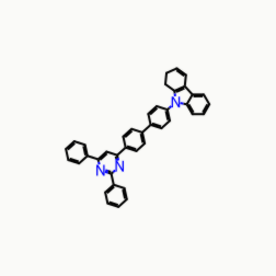 C1=Cc2c(n(-c3ccc(-c4ccc(-c5cc(-c6ccccc6)nc(-c6ccccc6)n5)cc4)cc3)c3ccccc23)CC1